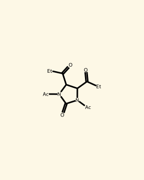 CCC(=O)C1C(C(=O)CC)N(C(C)=O)C(=O)N1C(C)=O